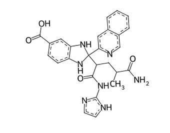 CC(CC(C(=O)Nc1ncc[nH]1)C1(c2cc3ccccc3cn2)Nc2ccc(C(=O)O)cc2N1)C(N)=O